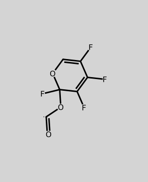 O=[C]OC1(F)OC=C(F)C(F)=C1F